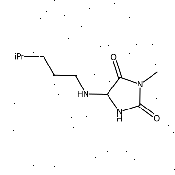 CC(C)CCCNC1NC(=O)N(C)C1=O